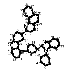 c1ccc(-n2c(-c3ccc(-c4cccc5sc6ccc(-c7ccc8ccc9cccnc9c8n7)cc6c45)cc3)nc3ccccc32)cc1